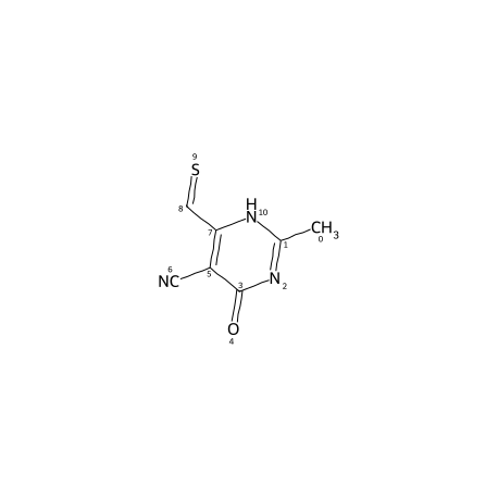 Cc1nc(=O)c(C#N)c(C=S)[nH]1